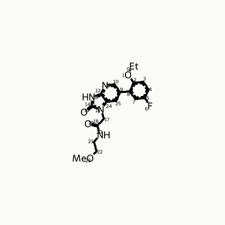 CCOc1ccc(F)cc1-c1cnc2[nH]c(=O)n(CC(=O)NCCOC)c2c1